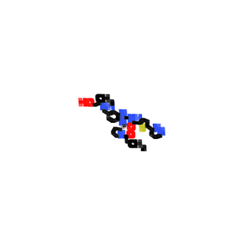 C=CC(=O)N1CCC[C@@H]1Cn1c(NC(=O)c2ccc(-c3cccnn3)s2)nc2cc(CN[C@H](C)CO)ccc21